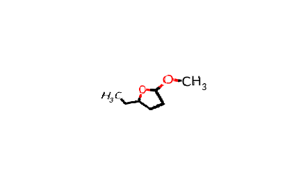 CCC1CCC(OC)O1